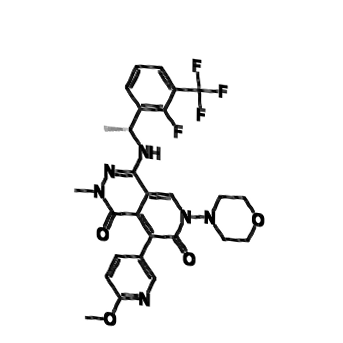 COc1ccc(-c2c(=O)n(N3CCOCC3)cc3c(N[C@H](C)c4cccc(C(F)(F)F)c4F)nn(C)c(=O)c23)cn1